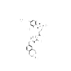 COc1cc(C)c(S(=O)(=O)N(C)CCC(=O)NC(C)C(=O)N(C)Cc2ccc3c(c2)CCN(C)CC3)c(C)c1